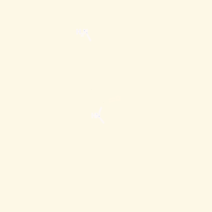 NCCCCC(=O)NCc1cccc2ccccc12